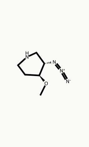 CO[C@H]1CCNC[C@@H]1N=[N+]=[N-]